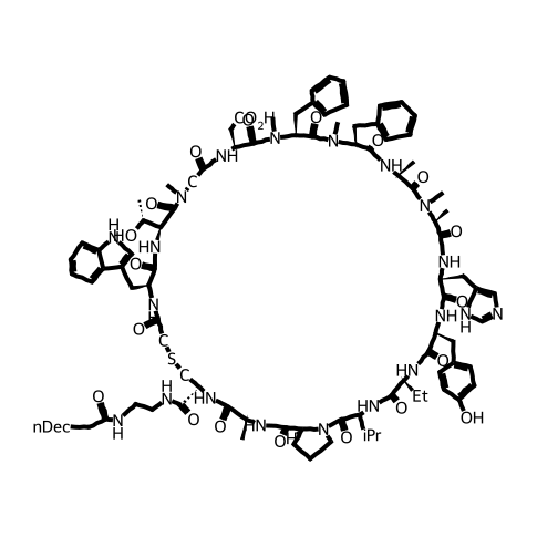 CCCCCCCCCCCC(=O)NCCNC(=O)[C@@H]1CSCC(=O)N[C@@H](Cc2c[nH]c3ccccc23)C(=O)N[C@@H]([C@@H](C)O)C(=O)N(C)CC(=O)N[C@@H](CC(=O)O)C(=O)N(C)[C@@H](Cc2ccccc2)C(=O)N(C)[C@@H](Cc2ccccc2)C(=O)N[C@@H](C)C(=O)N(C)[C@@H](C)C(=O)N[C@@H](Cc2cnc[nH]2)C(=O)N[C@@H](Cc2ccc(O)cc2)C(=O)N[C@@H](CC)C(=O)NC(C(C)C)C(=O)N2CCC[C@H]2C(=O)N[C@@H](C)C(=O)N1